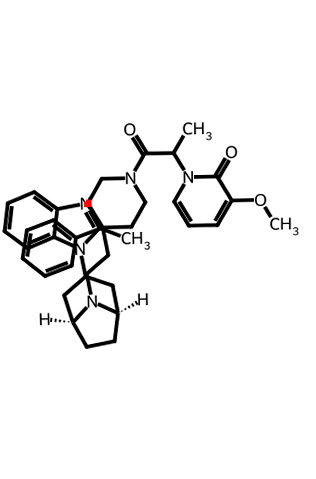 COc1cccn(C(C)C(=O)N2CCC(CCN3[C@@H]4CC[C@H]3CC(n3c(C)nc5ccccc53)C4)(c3ccccc3)CC2)c1=O